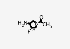 CC(=O)N1C[C@H](N)[C@@H](F)C1